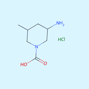 CC1CC(N)CN(C(=O)O)C1.Cl